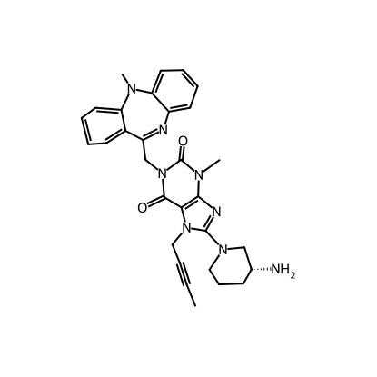 CC#CCn1c(N2CCC[C@@H](N)C2)nc2c1c(=O)n(CC1=Nc3ccccc3N(C)c3ccccc31)c(=O)n2C